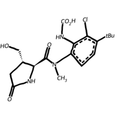 CN(C(=O)[C@H]1NC(=O)C[C@@H]1CO)c1ccc(C(C)(C)C)c(Cl)c1NC(=O)O